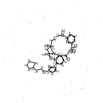 O=C1NS(=O)(=O)c2cccc(n2)NCCC[C@@H]2CN(c3nc(-n4ccc(OCCC5CCCC5)n4)ccc31)C(S)(I)C2